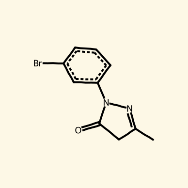 CC1=NN(c2cccc(Br)c2)C(=O)C1